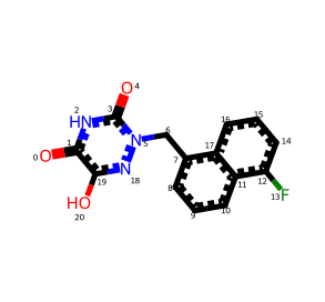 O=c1[nH]c(=O)n(Cc2cccc3c(F)cccc23)nc1O